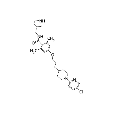 Cc1cc(OCCCC2CCN(c3ncc(Cl)cn3)CC2)cc(C)c1C(=O)NC[C@@H]1CCNC1